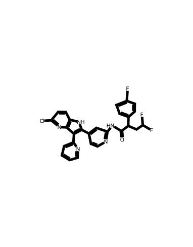 O=C(Nc1cc(-c2[nH]c3ccc(Cl)nc3c2-c2ccccn2)ccn1)C(CC(F)F)c1ccc(F)cc1